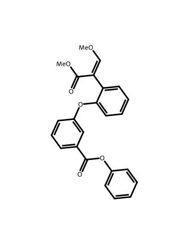 COC=C(C(=O)OC)c1ccccc1Oc1cccc(C(=O)Oc2ccccc2)c1